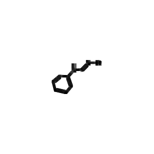 CC/N=[C]/Nc1ccccc1